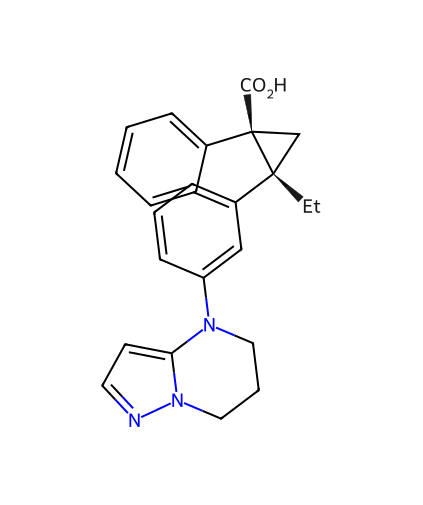 CC[C@]1(c2cccc(N3CCCn4nccc43)c2)C[C@@]1(C(=O)O)c1ccccc1